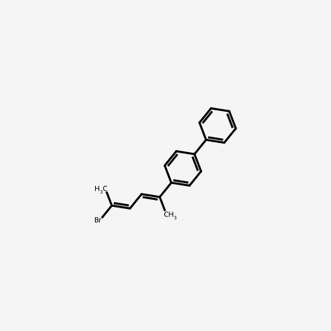 C/C(Br)=C\C=C(/C)c1ccc(-c2ccccc2)cc1